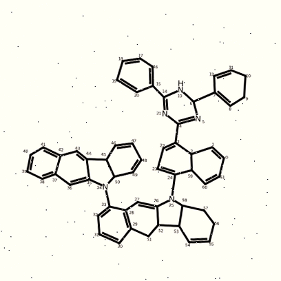 C1=CC2C(C3=NC(C4=CCCC=C4)NC(c4ccccc4)=N3)=CC=C(N3C4=Cc5c(cccc5N5c6cc7ccccc7cc6C6C=CC=CC65)CC4C4C=CCCC43)C2C=C1